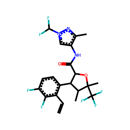 C=Cc1c(C2C(C(=O)Nc3cn(C(F)F)nc3C)OC(C)(C(F)(F)F)C2C)ccc(F)c1F